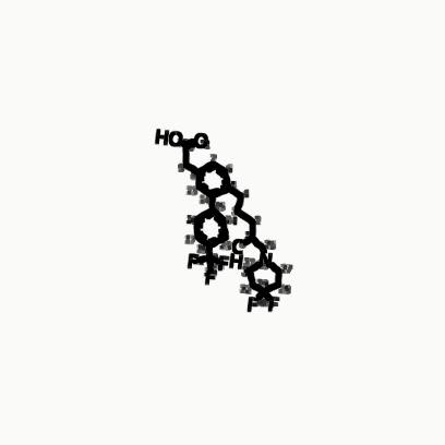 CC(CCCc1ccc(CC(=O)O)cc1-c1ccc(C(F)(F)F)cc1)CN1CCC(F)(F)CC1